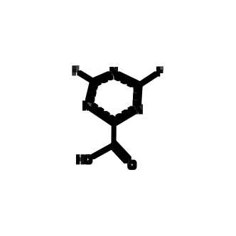 O=C(O)c1nc(F)nc(F)n1